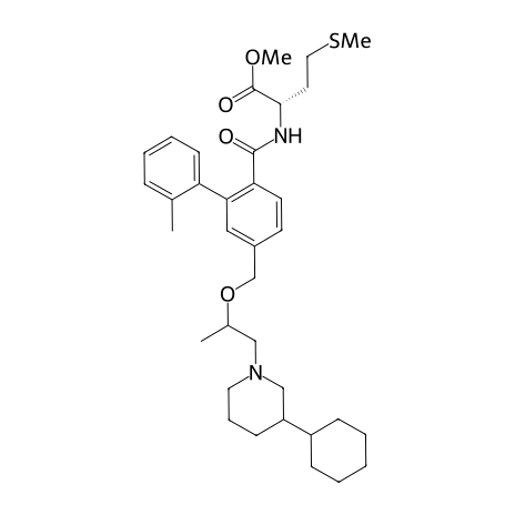 COC(=O)[C@H](CCSC)NC(=O)c1ccc(COC(C)CN2CCCC(C3CCCCC3)C2)cc1-c1ccccc1C